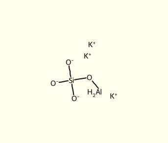 [K+].[K+].[K+].[O-][Si]([O-])([O-])[O][AlH2]